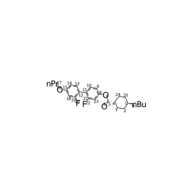 CCCC[C@H]1CC[C@H](C(=O)Oc2ccc(-c3ccc(OCCC)cc3F)c(F)c2)CC1